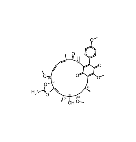 COC1=C2C[C@@H](C)C[C@H](OC)[C@H](O)[C@@H](C)C=C(C)[C@H](OC(N)=O)[C@@H](OC)C=CC=C(C)C(=O)NC(=C(c3ccc(OC)cc3)C1=O)C2=O